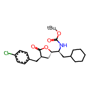 CC(C)(C)OC(=O)N[C@@H](CC1CCCCC1)[C@@H]1C[C@@H](Cc2ccc(Cl)cc2)C(=O)O1